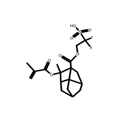 C=C(C)C(=O)OC1(C)C2CC3CC(C2)CC1(C(=O)OCC(F)(F)S(=O)(=O)O)C3